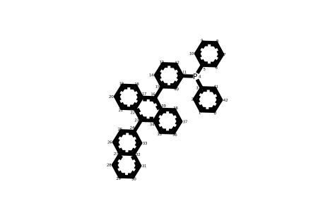 c1ccc(P(c2ccccc2)c2cccc(-c3c4ccccc4c(-c4ccc5ccccc5c4)c4ccccc34)c2)cc1